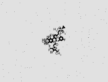 CC(F)c1nn(CC(=O)N[C@@H](Cc2cc(F)cc(F)c2)c2nc(CCC(C)(C)S(=O)(=O)C3CC3)ccc2-c2ccc(Cl)c3c(NS(C)(=O)=O)nn(C)c23)c(C(F)F)c1Br